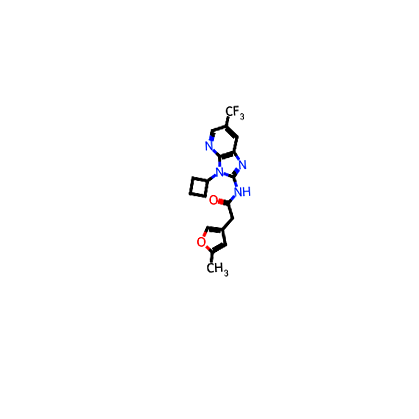 Cc1cc(CC(=O)Nc2nc3cc(C(F)(F)F)cnc3n2C2CCC2)co1